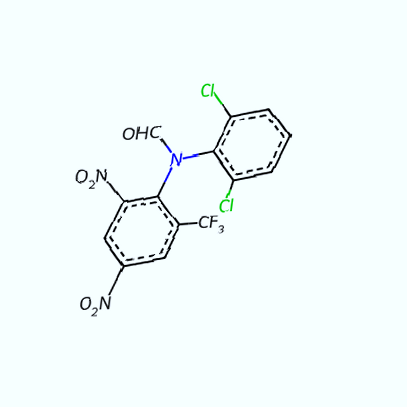 O=CN(c1c(Cl)cccc1Cl)c1c([N+](=O)[O-])cc([N+](=O)[O-])cc1C(F)(F)F